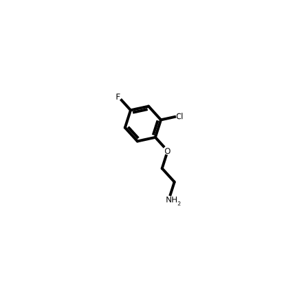 NCCOc1ccc(F)cc1Cl